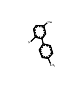 Cc1ccc(-c2cc(C(C)(C)C)ccc2Br)cc1